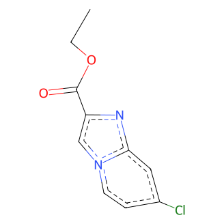 CCOC(=O)c1cn2ccc(Cl)cc2n1